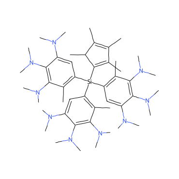 CC1=C(C)C(C)C([Si](c2cc(N(C)C)c(N(C)C)c(N(C)C)c2C)(c2cc(N(C)C)c(N(C)C)c(N(C)C)c2C)c2cc(N(C)C)c(N(C)C)c(N(C)C)c2C)=C1C